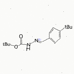 CC(C)(C)OC(=O)N/N=C/c1ccc(C(C)(C)C)cc1